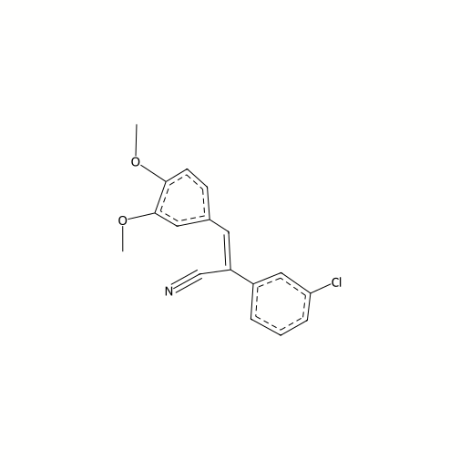 COc1ccc(C=C(C#N)c2cccc(Cl)c2)cc1OC